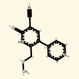 COCc1[nH]c(=O)c(C#N)cc1-c1ccncc1